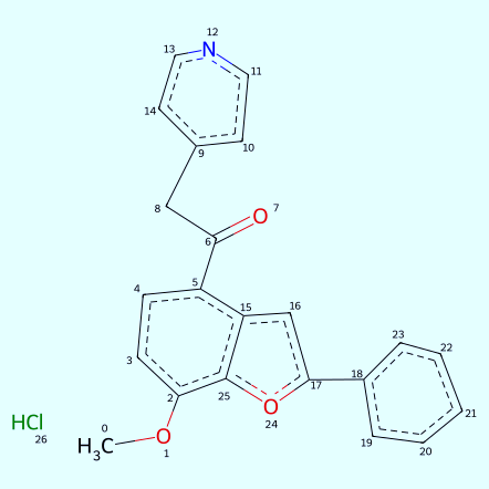 COc1ccc(C(=O)Cc2ccncc2)c2cc(-c3ccccc3)oc12.Cl